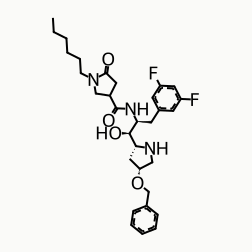 CCCCCCN1CC(C(=O)N[C@@H](Cc2cc(F)cc(F)c2)[C@H](O)[C@H]2C[C@@H](OCc3ccccc3)CN2)CC1=O